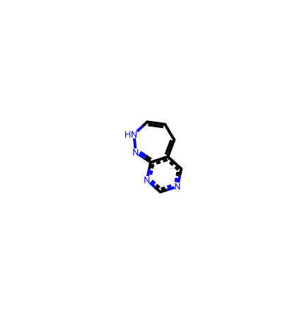 C1=CNN=c2ncncc2=C1